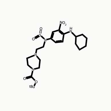 CC(C)(C)OC(=O)N1CCN(CCN(c2ccc(NC3CCCCC3)c([N+](=O)[O-])c2)[SH](=O)=O)CC1